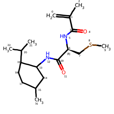 C=C(C)C(=O)N[C@@H](CSC)C(=O)NC1CC(C)CCC1C(C)C